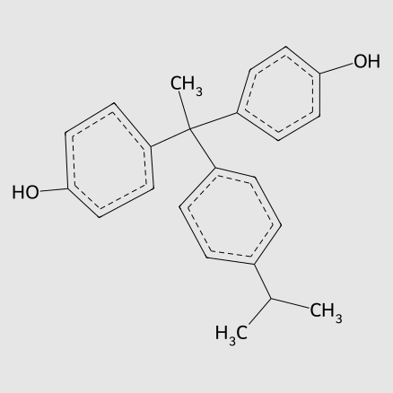 CC(C)c1ccc(C(C)(c2ccc(O)cc2)c2ccc(O)cc2)cc1